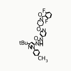 Cc1ccc(-n2nc(C(C)(C)C)cc2NC(=O)Nc2ccnc(OC3CCN(C(=O)c4c(F)cccc4F)CC3)c2)cc1